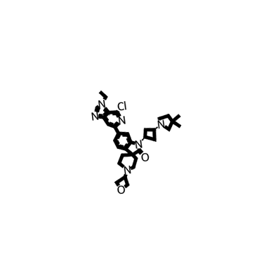 CCn1cnc2cc(-c3ccc4c(c3)N([C@H]3C[C@@H](N5CCC(C)(C)C5)C3)C(=O)C43CCN(C4COC4)CC3)nc(Cl)c21